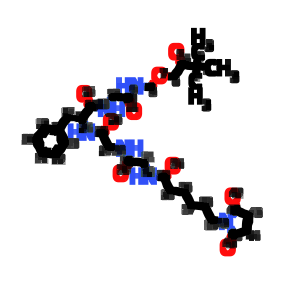 CC(C)(C)C(=O)COCNC(=O)CNC(=O)[C@H](Cc1ccccc1)NC(=O)CNC(=O)CNC(=O)CCCCCN1C(=O)C=CC1=O